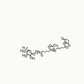 CC(=O)[C@H](CCCCCC(=O)ON1C(=O)CCC1=O)NC(=O)CCCCC(=O)NCCO[C@@H]1O[C@@H](C)[C@@H](O)[C@@H](O)[C@@H]1O